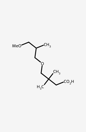 COCC(C)COCC(C)(C)CC(=O)O